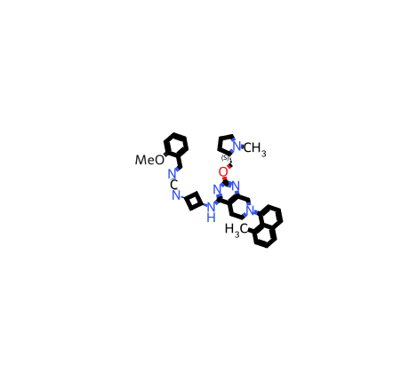 COc1ccccc1CN=C=N[C@H]1C[C@H](Nc2nc(OC[C@@H]3CCCN3C)nc3c2CCN(c2cccc4cccc(C)c24)C3)C1